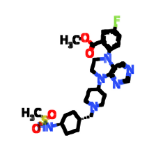 COC(=O)c1cc(F)ccc1N1CCN(C2CCN(C[C@H]3CC[C@H](NS(C)(=O)=O)CC3)CC2)c2ncncc21